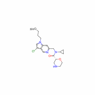 COCCCn1cc(Cl)c2cnc(CN(C(=O)[C@H]3CNCCO3)C3CC3)cc21